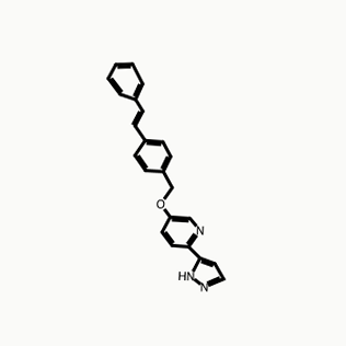 C(=C\c1ccc(COc2ccc(-c3ccn[nH]3)nc2)cc1)/c1ccccc1